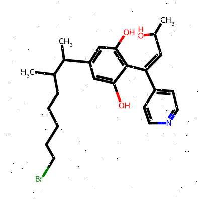 CC(O)/C=C(/c1ccncc1)c1c(O)cc(C(C)C(C)CCCCCBr)cc1O